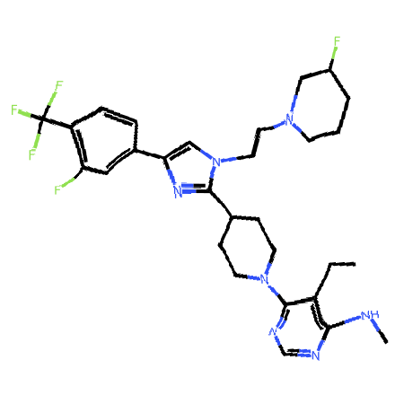 CCc1c(NC)ncnc1N1CCC(c2nc(-c3ccc(C(F)(F)F)c(F)c3)cn2CCN2CCCC(F)C2)CC1